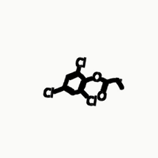 C[CH]C(=O)Oc1c(Cl)cc(Cl)cc1Cl